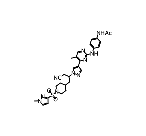 CC(=O)Nc1ccc(Nc2ncc(C)c(-c3cnn(C(CC#N)CC4CCN(S(=O)(=O)c5ccn(C)n5)CC4)c3)n2)cc1